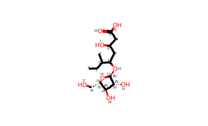 CCC(C)C(CC(O)CC(=O)O)O[C@@H]1O[C@@H](CO)[C@H](O)[C@H]1O